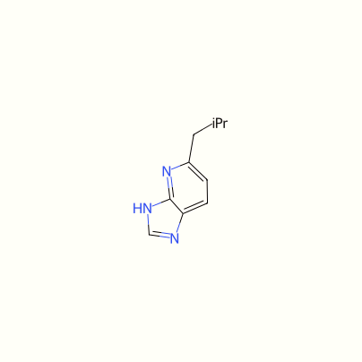 CC(C)Cc1ccc2nc[nH]c2n1